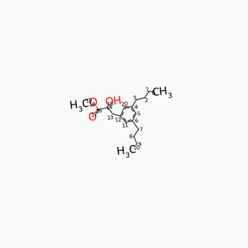 CCCCc1cc(CCCC)cc(C[C@@H](O)C(=O)OC)c1